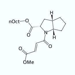 CCCCCCCCOC(=O)[C@@H]1C[C@@H]2CCC[C@@H]2N1C(=O)C=CC(=O)OC